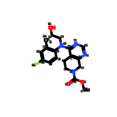 CC(C)(C)OC(=O)N1CCc2c(ncnc2N(CCO)c2ccc(F)cc2C(F)(F)F)C1